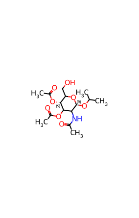 CC(=O)NC1C(OC(C)=O)[C@H](OC(C)=O)C(CO)O[C@H]1OC(C)C